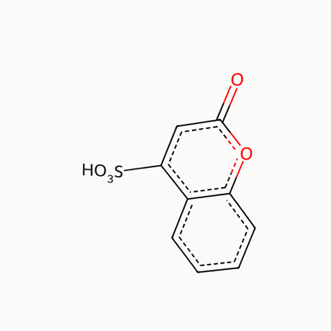 O=c1cc(S(=O)(=O)O)c2ccccc2o1